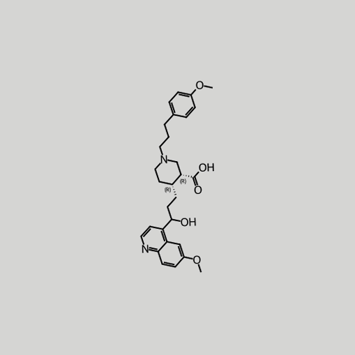 COc1ccc(CCCN2CC[C@@H](CCC(O)c3ccnc4ccc(OC)cc34)[C@@H](C(=O)O)C2)cc1